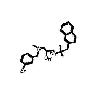 CN(Cc1cccc(Br)c1)C[C@H](O)CNC(C)(C)Cc1ccc2ccccc2c1